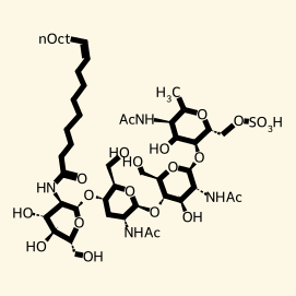 CCCCCCCC/C=C\CCCCCCCC(=O)N[C@H]1[C@H](O[C@H]2C[C@@H](NC(C)=O)[C@H](O[C@H]3[C@H](O)[C@@H](NC(C)=O)[C@H](O[C@H]4C(O)[C@@H](NC(C)=O)C(C)O[C@@H]4COS(=O)(=O)O)O[C@@H]3CO)O[C@@H]2CO)O[C@H](CO)[C@@H](O)[C@@H]1O